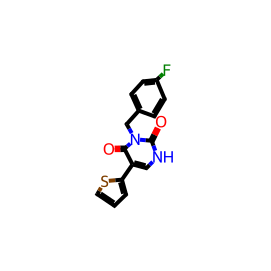 O=c1[nH]cc(-c2cccs2)c(=O)n1Cc1ccc(F)cc1